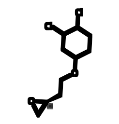 ClC1CCC(OCC[C@H]2CO2)CC1Cl